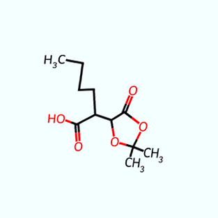 CCCCC(C(=O)O)C1OC(C)(C)OC1=O